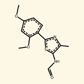 COc1ccc(-c2nc(C)c(NC=O)s2)c(OC)c1